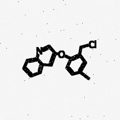 Cc1ccc(Oc2cnc3ccccc3c2)c(CCl)c1